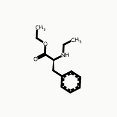 CCN[C@@H](Cc1ccccc1)C(=O)OCC